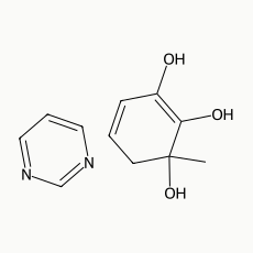 CC1(O)CC=CC(O)=C1O.c1cncnc1